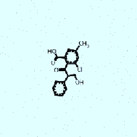 Cc1cc(Cl)c(C(=O)C(CO)c2ccccc2)c(C(=O)O)c1